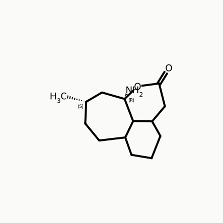 C[C@H]1CCC2CCCC3CC(=O)O[C@](N)(C1)C23